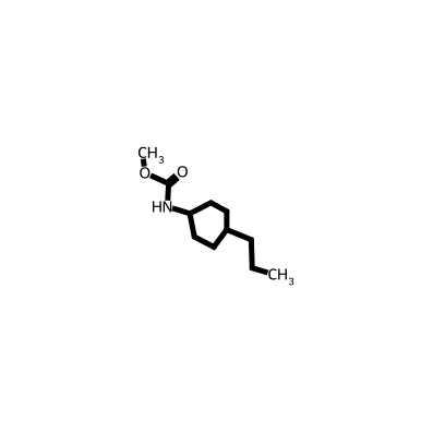 CCCC1CCC(NC(=O)OC)CC1